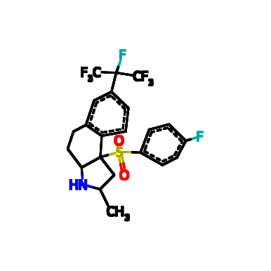 CC1CC2(S(=O)(=O)c3ccc(F)cc3)c3ccc(C(F)(C(F)(F)F)C(F)(F)F)cc3CCC2N1